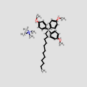 CCCCCCCCCCCC[B-](c1ccc(OC)cc1)(c1ccc(OC)cc1)c1ccc(OC)cc1.C[N+](C)(C)C